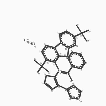 C/[C](c1ccccc1)=[Zr](\[C]1=C(c2ccoc2)C=CC1)[c]1c(C(C)(C)C)ccc2c1Cc1cc(C(C)(C)C)ccc1-2.Cl.Cl